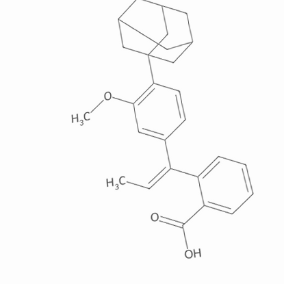 CC=C(c1ccc(C23CC4CC(CC(C4)C2)C3)c(OC)c1)c1ccccc1C(=O)O